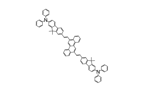 CC1(C)c2cc(/C=C/c3cc4c5ccccc5c(/C=C/c5ccc6c(c5)C(C)(C)c5cc(N(c7ccccc7)c7ccccc7)ccc5-6)cc4c4ccccc34)ccc2-c2ccc(N(c3ccccc3)c3ccccc3)cc21